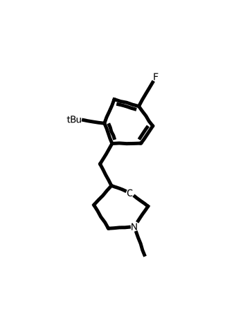 CN1CCC(Cc2ccc(F)cc2C(C)(C)C)CC1